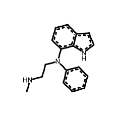 CNCCN(c1ccccc1)c1cccc2cc[nH]c12